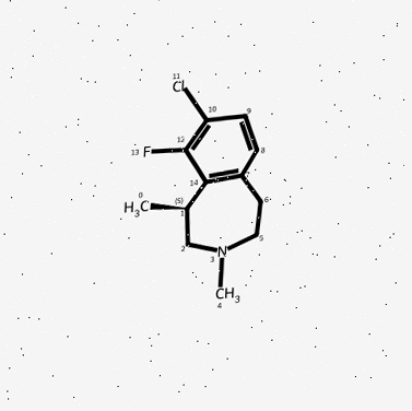 C[C@@H]1CN(C)CCc2ccc(Cl)c(F)c21